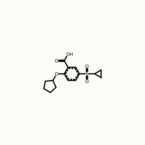 O=C(O)c1cc(S(=O)(=O)C2CC2)ccc1OC1CCCC1